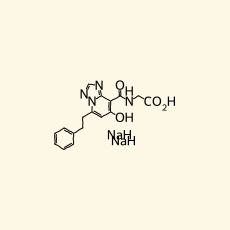 O=C(O)CNC(=O)c1c(O)cc(CCc2ccccc2)n2ncnc12.[NaH].[NaH]